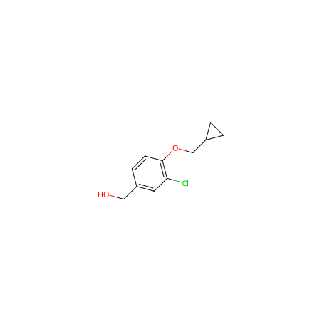 OCc1ccc(OCC2CC2)c(Cl)c1